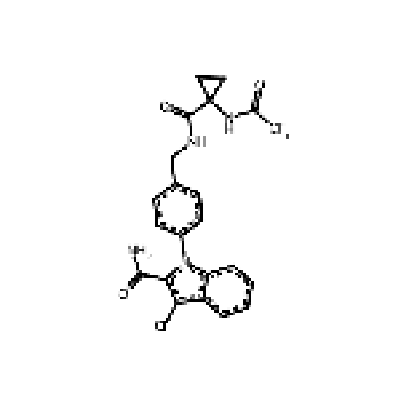 NC(=O)c1c(Cl)c2ccccc2n1-c1ccc(CNC(=O)C2(NC(=O)C(F)(F)F)CC2)cc1